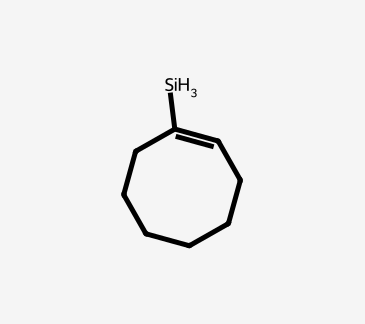 [SiH3]C1=CCCCCCC1